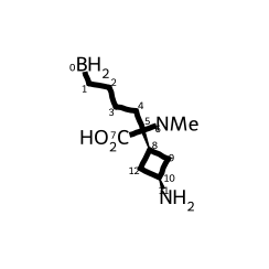 BCCCCC(NC)(C(=O)O)[C@H]1C[C@@H](N)C1